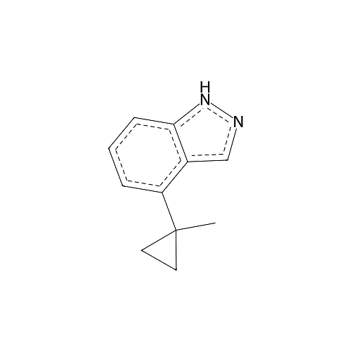 CC1(c2cccc3[nH]ncc23)CC1